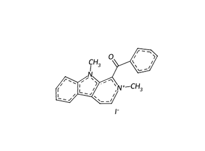 Cn1c2ccccc2c2cc[n+](C)c(C(=O)c3ccccc3)c21.[I-]